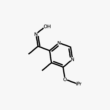 C/C(=N/O)c1ncnc(OC(C)C)c1C